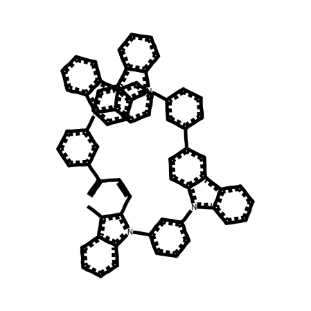 C=C(/C=C\c1c(C)c2ccccc2n1-c1cccc(-n2c3ccccc3c3cc(-c4cccc(-n5c6ccccc6c6ccccc65)c4)ccc32)c1)c1cccc(-n2c3ccccc3c3ccccc32)c1